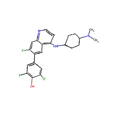 CN(C)C1CCC(Nc2[c]cnc3cc(F)c(-c4cc(F)c(O)c(Cl)c4)cc23)CC1